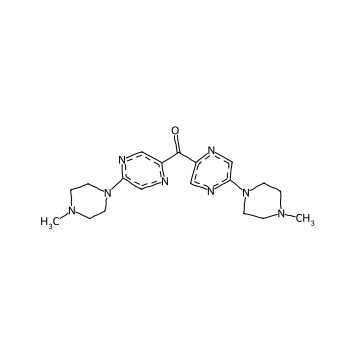 CN1CCN(c2cnc(C(=O)c3cnc(N4CCN(C)CC4)cn3)cn2)CC1